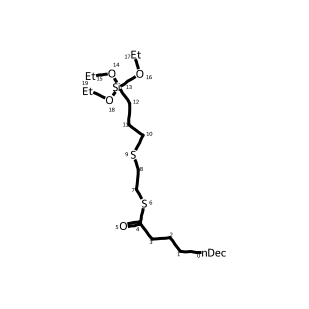 CCCCCCCCCCCCCC(=O)SCCSCCC[Si](OCC)(OCC)OCC